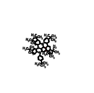 Cc1cc2c3c(c1)N(c1ccc(C(C)(C)C)cc1-c1ccc4c(c1)C(C)(C)CC4(C)C)c1cc4c(cc1B3c1cc(C(C)(C)C)ccc1N2c1ccc(C(C)(C)C)cc1)C(C)(C)CC4(C)C